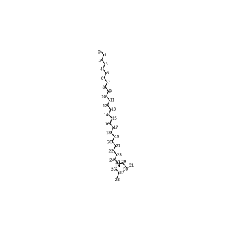 CCCCCCCCCCCCCCCCCCCCCCCCCN(CCC)CCC